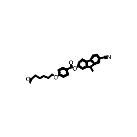 CC1c2cc(C#N)ccc2-c2ccc(OC(=O)c3ccc(OCCCCCC4CO4)cc3)cc21